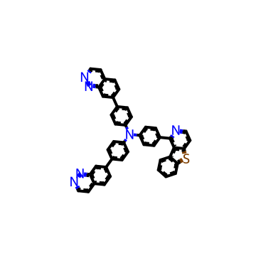 c1ccc2c(c1)sc1ccnc(-c3ccc(N(c4ccc(-c5ccc6ccnnc6c5)cc4)c4ccc(-c5ccc6ccnnc6c5)cc4)cc3)c12